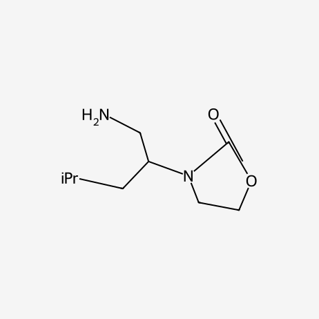 CC(C)CC(CN)N1CCOC1=O